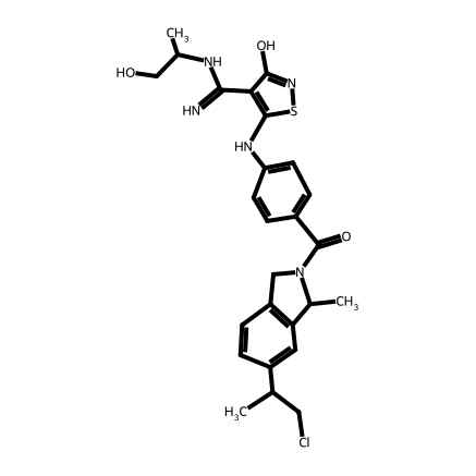 CC(CO)NC(=N)c1c(O)nsc1Nc1ccc(C(=O)N2Cc3ccc(C(C)CCl)cc3C2C)cc1